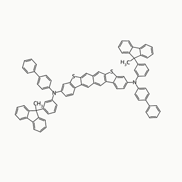 CC1(c2cccc(N(c3ccc(-c4ccccc4)cc3)c3ccc4c(c3)sc3cc5cc6sc7cc(N(c8ccc(-c9ccccc9)cc8)c8cccc(C9(C)c%10ccccc%10-c%10ccccc%109)c8)ccc7c6cc5cc34)c2)c2ccccc2-c2ccccc21